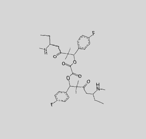 CCC(CC(=O)C(C)(C)C(OC(=O)C(=O)OC(c1ccc(F)cc1)C(C)(C)C(=O)CC(CC)NC)c1ccc(F)cc1)NC